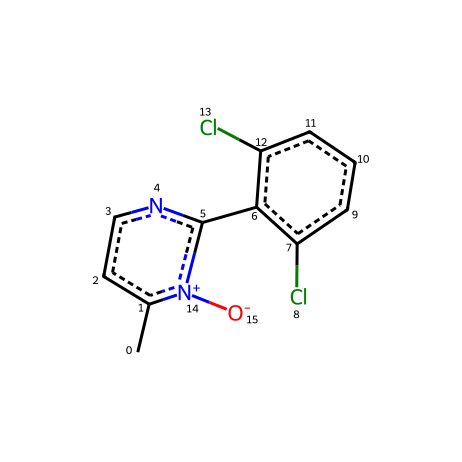 Cc1ccnc(-c2c(Cl)cccc2Cl)[n+]1[O-]